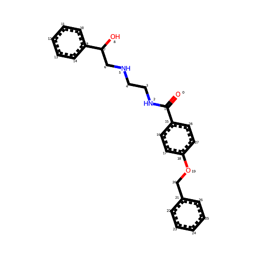 O=C(NCCNCC(O)c1ccccc1)c1ccc(OCc2ccccc2)cc1